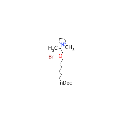 CCCCCCCCCCCCCCCCOCC(C)[N+]1(C)CCCC1.[Br-]